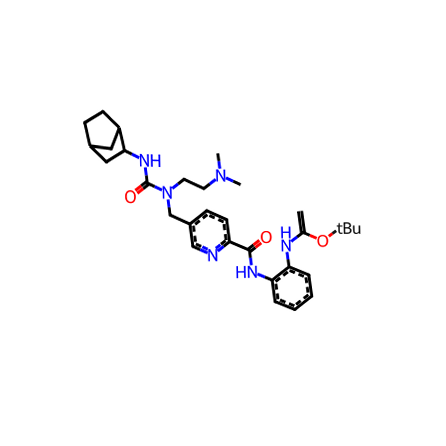 C=C(Nc1ccccc1NC(=O)c1ccc(CN(CCN(C)C)C(=O)NC2CC3CCC2C3)cn1)OC(C)(C)C